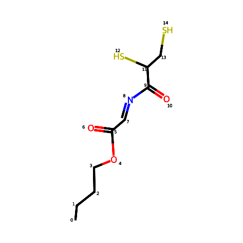 CCCCOC(=O)C=NC(=O)C(S)CS